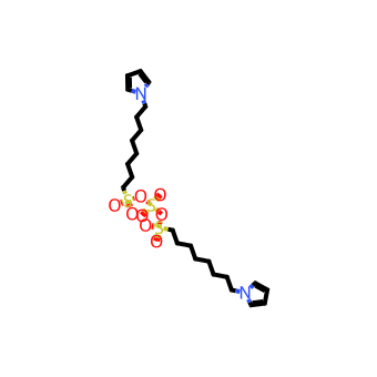 O=S(=O)(CCCCCCCCn1cccc1)OS(=O)(=O)OS(=O)(=O)CCCCCCCCn1cccc1